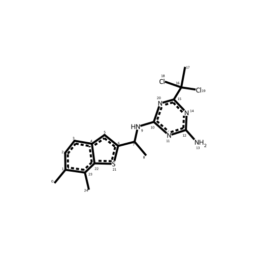 Cc1ccc2cc(C(C)Nc3nc(N)nc(C(C)(Cl)Cl)n3)sc2c1C